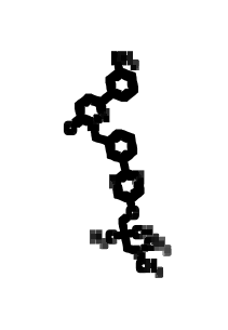 CN(C)CC(C)(C)COc1cnc(-c2cccc(Cn3nc(-c4cccc(N)c4)ccc3=O)c2)nc1